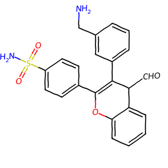 NCc1cccc(C2=C(c3ccc(S(N)(=O)=O)cc3)Oc3ccccc3C2C=O)c1